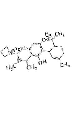 C=C(C)C1CCC(C)=CC1c1c(O)cc(CCCCC)c(C(C)N(C)C(=O)N2CCC2)c1O